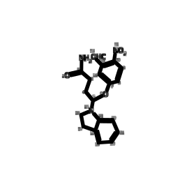 NC(=O)CCC(Oc1ccc([N+](=O)[O-])c(C=O)c1)N1CCc2ccccc21